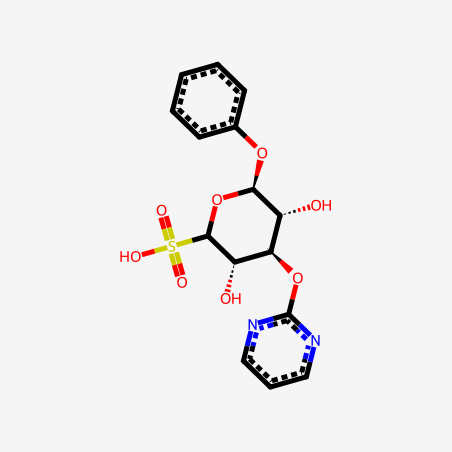 O=S(=O)(O)C1O[C@@H](Oc2ccccc2)[C@H](O)[C@@H](Oc2ncccn2)[C@@H]1O